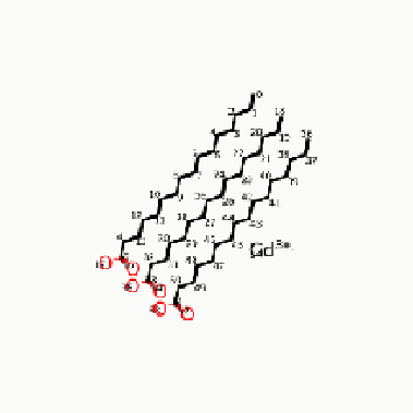 CCCCCCCCCCCCCCCC(=O)[O-].CCCCCCCCCCCCCCCC(=O)[O-].CCCCCCCCCCCCCCCC(=O)[O-].[Gd+3]